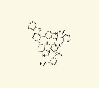 Cc1cccc(C)c1-c1nc2ccc3c4c2n1-c1cccc2c1B4c1c(ccc4nc(-c5c(C)cccc5C)n-2c14)-c1c-3ccc2c1oc1ccccc12